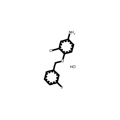 Cl.Nc1ccc(OCc2cccc(F)c2)c(Cl)c1